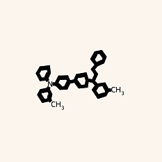 Cc1cccc(C(CCc2ccccc2)C2C=CC(c3ccc(N(C4=CC=CCC4)c4cccc(C)c4)cc3)=CC2)c1